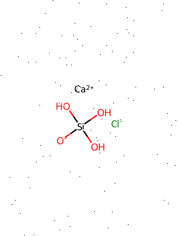 [Ca+2].[Cl-].[O-][Si](O)(O)O